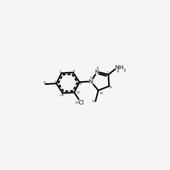 Cc1ccc(N2N=C(N)CC2C)c(Cl)c1